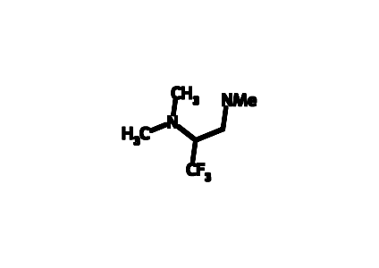 CNCC(N(C)C)C(F)(F)F